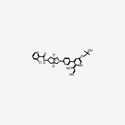 CC(C)(O)COC1=CN/C(=C(/C#N)C=N)C(c2ccc(N3C[C@H]4CC(NC(=O)c5ncccc5Cl)C[C@H]4C3)nc2)=C1